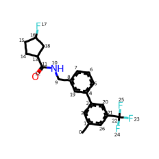 Cc1cc(-c2cccc(CNC(=O)C3CCC(F)C3)c2)cc(C(F)(F)F)c1